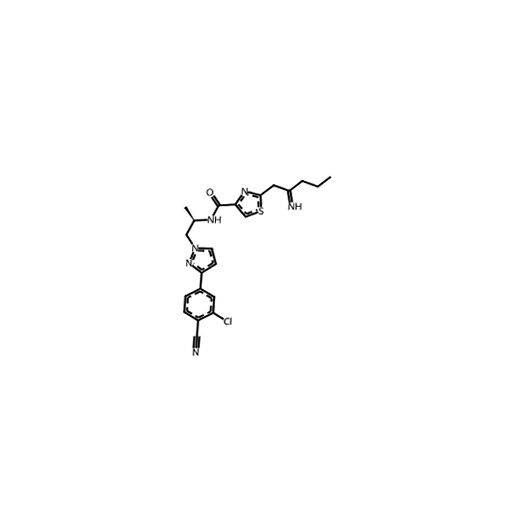 CCCC(=N)Cc1nc(C(=O)N[C@H](C)Cn2ccc(-c3ccc(C#N)c(Cl)c3)n2)cs1